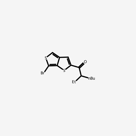 CCCCC(CC)C(=O)c1cc2csc(Br)c2s1